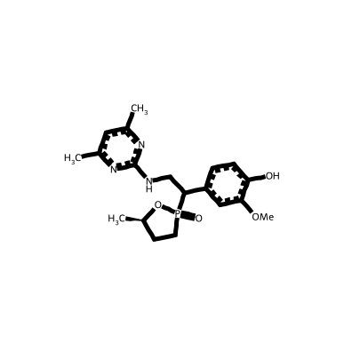 COc1cc(C(CNc2nc(C)cc(C)n2)P2(=O)CC[C@@H](C)O2)ccc1O